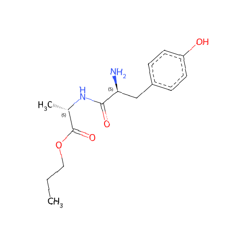 CCCOC(=O)[C@H](C)NC(=O)[C@@H](N)Cc1ccc(O)cc1